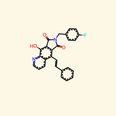 O=C1c2c(c(O)c3ncccc3c2C=Cc2ccccc2)C(=O)N1Cc1ccc(F)cc1